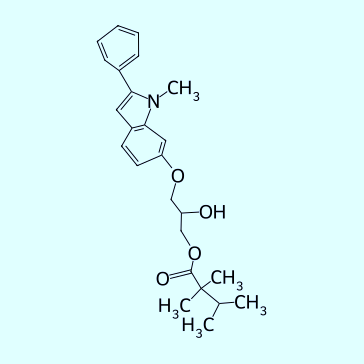 CC(C)C(C)(C)C(=O)OCC(O)COc1ccc2cc(-c3ccccc3)n(C)c2c1